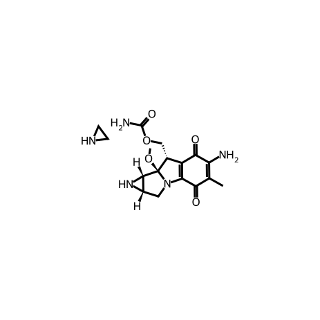 C1CN1.CO[C@@]12[C@H](COC(N)=O)C3=C(C(=O)C(C)=C(N)C3=O)N1C[C@@H]1N[C@@H]12